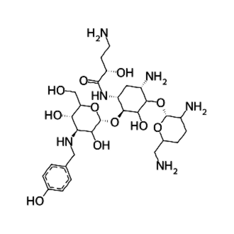 NCC[C@H](O)C(=O)N[C@@H]1C[C@H](N)C(O[C@H]2OC(CN)CCC2N)C(O)[C@H]1O[C@H]1OC(CO)[C@@H](O)[C@H](NCc2ccc(O)cc2)C1O